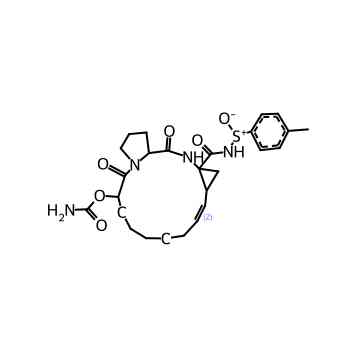 Cc1ccc([S+]([O-])NC(=O)C23CC2/C=C\CCCCCC(OC(N)=O)C(=O)N2CCCC2C(=O)N3)cc1